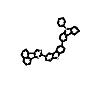 c1ccc(-n2c3ccccc3c3cc(-c4ccc5sc6ccc(-c7ncc8c(n7)-c7cccc9cccc-8c79)cc6c5c4)ccc32)cc1